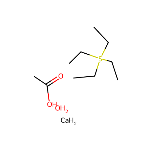 CC(=O)O.CCS(CC)(CC)CC.O.[CaH2]